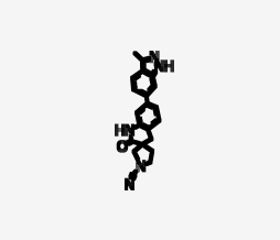 Cc1n[nH]c2cc(-c3ccc4c(c3)NC(=O)C3(CCN(C#N)C3)C4)ccc12